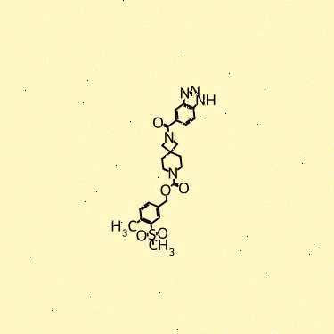 Cc1ccc(COC(=O)N2CCC3(CC2)CN(C(=O)c2ccc4[nH]nnc4c2)C3)cc1S(C)(=O)=O